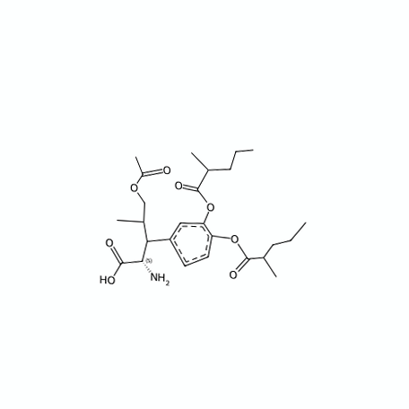 CCCC(C)C(=O)Oc1ccc(C(C(C)COC(C)=O)[C@H](N)C(=O)O)cc1OC(=O)C(C)CCC